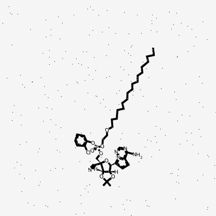 CCCCCCCCCCCCCCCCCCOCCOP(=O)(OC[C@@]1(C#N)O[C@@H](c2ccc3c(N)ncnn23)[C@@H]2OC(C)(C)O[C@@H]21)Oc1ccccc1Cl